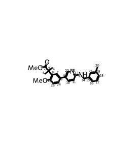 COC(=O)C(C)(C)c1cc(-c2ccc(NCc3cccc(C)c3)nc2)ccc1OC